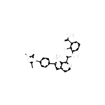 CCn1c(-c2ccc(-n3c(C)nn(C)c3=O)cc2)cc2ccnc(C(=O)Nc3cccc(C(N)=O)c3F)c21